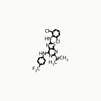 CN(C)c1nc(Nc2ccc(C(F)(F)F)cc2)c2nc(Nc3c(Cl)cccc3Cl)sc2n1